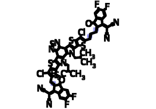 CC(C)Cn1c2c3sc(/C=C4\C(=O)c5cc(F)c(F)cc5C4=C(C#N)C#N)c(Cl)c3sc2c2c3nsnc3c3c4sc5c(Cl)c(/C=C/C=C6\C(=O)c7cc(F)c(F)cc7C6=C(C#N)C#N)sc5c4n(CC(C)C)c3c21